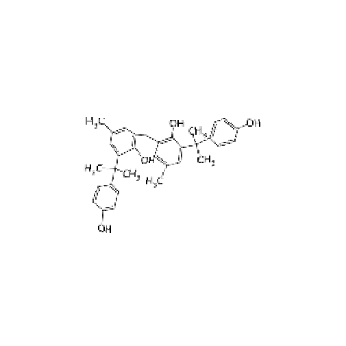 Cc1cc(Cc2cc(C)cc(C(C)(C)c3ccc(O)cc3)c2O)c(O)c(C(C)(C)c2ccc(O)cc2)c1